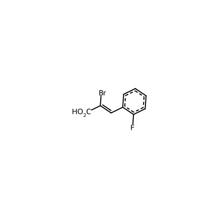 O=C(O)C(Br)=Cc1ccccc1F